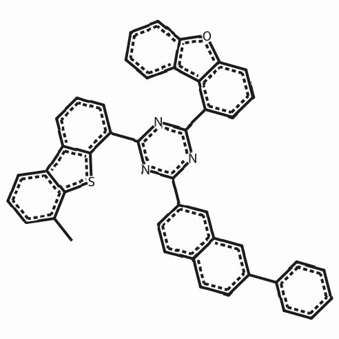 Cc1cccc2c1sc1c(-c3nc(-c4ccc5ccc(-c6ccccc6)cc5c4)nc(-c4cccc5oc6ccccc6c45)n3)cccc12